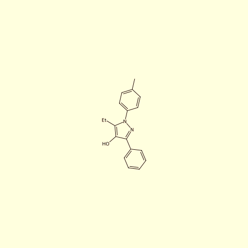 CCc1c(O)c(-c2ccccc2)nn1-c1ccc(C)cc1